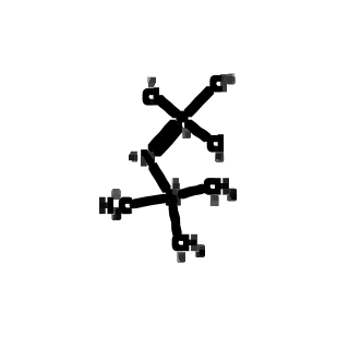 C[Si](C)(C)N=P(Cl)(Cl)Cl